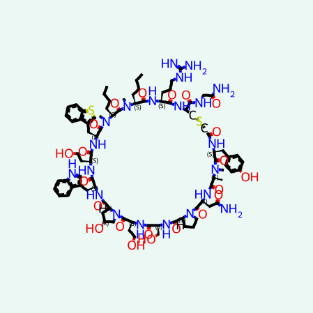 CCCC[C@H]1C(=O)N(C)[C@@H](CCCC)C(=O)N[C@@H](CCCNC(=N)N)C(=O)NC(C(=O)NCC(N)=O)CSCC(=O)N[C@@H](Cc2ccc(O)cc2)C(=O)N(C)[C@@H](C)C(=O)N[C@@H](CC(N)=O)C(=O)N2CCC[C@H]2C(=O)N[C@@H](CO)C(=O)N[C@@H](CCO)C(=O)N2C[C@H](O)C[C@H]2C(=O)N[C@@H](Cc2c[nH]c3ccccc23)C(=O)N[C@@H](CCO)C(=O)N[C@@H](Cc2csc3ccccc23)C(=O)N1C